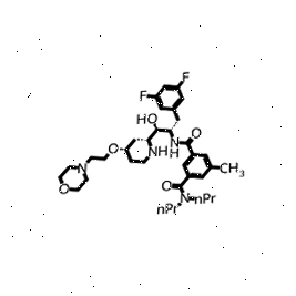 CCCN(CCC)C(=O)c1cc(C)cc(C(=O)N[C@@H](Cc2cc(F)cc(F)c2)[C@H](O)[C@H]2C[C@@H](OCCN3CCOCC3)CCN2)c1